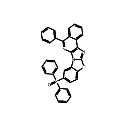 O=P(c1ccccc1)(c1ccccc1)c1ccc2oc3nc4c5ccccc5c(-c5ccccc5)nc4n3c2c1